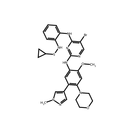 COc1cc(N2CCOCC2)c(-c2cnn(C)c2)cc1Nc1ncc(Br)c(Nc2ccccc2NSC2CC2)n1